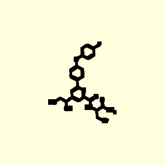 CC(C)CC(NC(=O)c1cc(C(O)CO)cc(-c2ccc(Oc3ccc(F)cc3)cc2)n1)C(N)=O